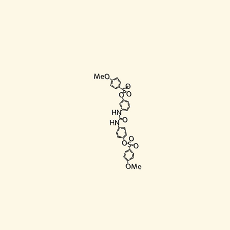 COc1ccc(S(=O)(=O)Oc2ccc(NC(=O)Nc3cccc(OS(=O)(=O)c4ccc(OC)cc4)c3)cc2)cc1